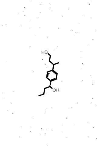 CCCC(O)c1ccc(C(C)CCO)cc1